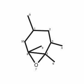 CC1CC(C)C2(C)OC2(C)C1